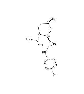 CC(C)[C@@H]1CC[C@@H](C)C[C@H]1C1OC1Nc1ccc(O)cc1